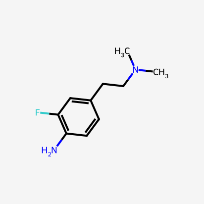 CN(C)CCc1ccc(N)c(F)c1